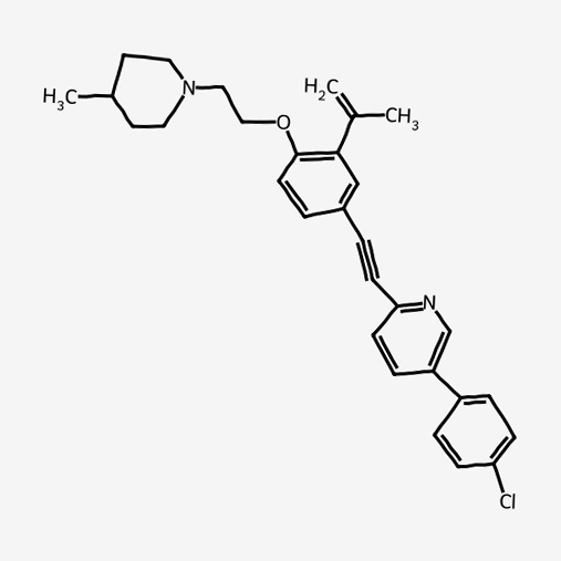 C=C(C)c1cc(C#Cc2ccc(-c3ccc(Cl)cc3)cn2)ccc1OCCN1CCC(C)CC1